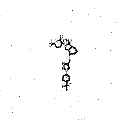 C[C@]1(N2Cc3c(OCc4cn(-c5ccc(C(F)(F)F)cc5)nn4)cccc3C2=O)CCC(=O)NC1=O